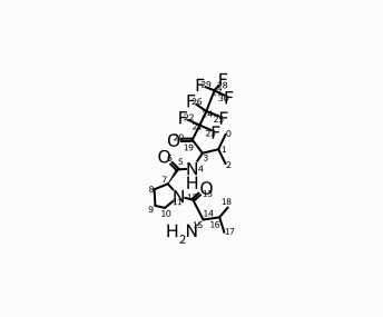 CC(C)C(NC(=O)[C@@H]1CCCN1C(=O)[C@@H](N)C(C)C)C(=O)C(F)(F)C(F)(F)C(F)(F)F